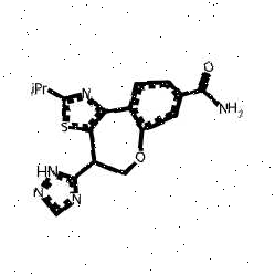 CC(C)c1nc2c(s1)C(c1ncn[nH]1)COc1cc(C(N)=O)ccc1-2